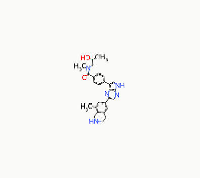 Cc1cc(-c2cnc3[nH]cc(-c4ccc(C(=O)N(C)CC(C)O)cc4)c3n2)cc2c1CNCC2